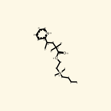 CCCC[N+](C)(C)CCOC(=O)C(C)(C)CC(C)c1ccccn1